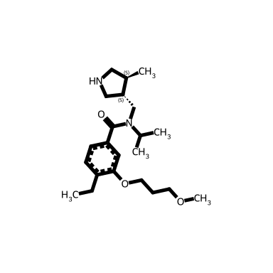 CCc1ccc(C(=O)N(C[C@@H]2CNC[C@H]2C)C(C)C)cc1OCCCOC